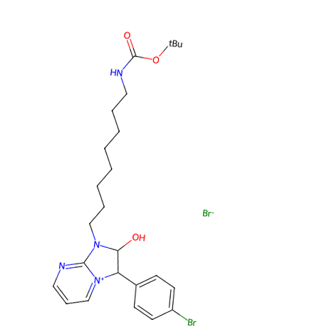 CC(C)(C)OC(=O)NCCCCCCCCN1c2nccc[n+]2C(c2ccc(Br)cc2)C1O.[Br-]